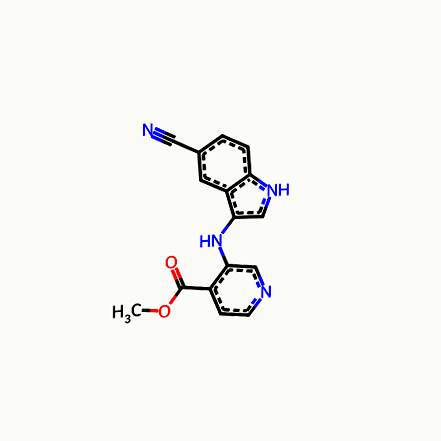 COC(=O)c1ccncc1Nc1c[nH]c2ccc(C#N)cc12